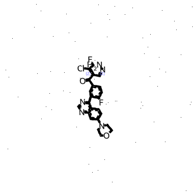 N/N=C\C(C(=O)c1ccc(F)c(-c2ncnc3cc(N4CCOCC4)ccc23)c1)=C(\Cl)CF